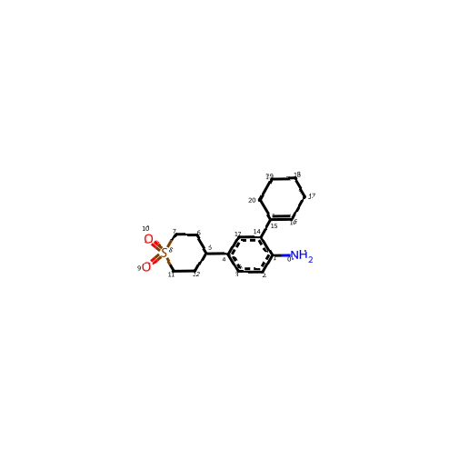 Nc1ccc(C2CCS(=O)(=O)CC2)cc1C1=CCCCC1